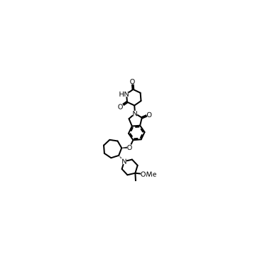 COC1(C)CCN([C@@H]2CCCCC[C@H]2Oc2ccc3c(c2)CN(C2CCC(=O)NC2=O)C3=O)CC1